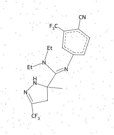 CCN(CC)C(=Nc1ccc(C#N)c(C(F)(F)F)c1)C1(C)CC(C(F)(F)F)=NN1